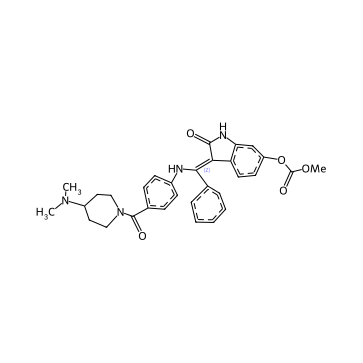 COC(=O)Oc1ccc2c(c1)NC(=O)/C2=C(\Nc1ccc(C(=O)N2CCC(N(C)C)CC2)cc1)c1ccccc1